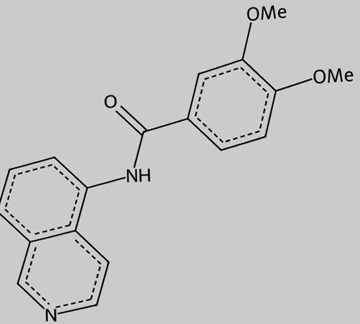 COc1ccc(C(=O)Nc2cccc3cnccc23)cc1OC